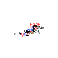 C=CCOC(=O)N1CCO[C@@H]2[C@H](CN[C@@H]2C(=O)N[C@H]([C@H](C)Cl)[C@H]2OC(SC)[C@H](O)[C@H](O)C2O)C1